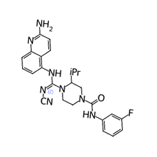 CC(C)C1CN(C(=O)Nc2cccc(F)c2)CCN1/C(=N\C#N)Nc1cccc2nc(N)ccc12